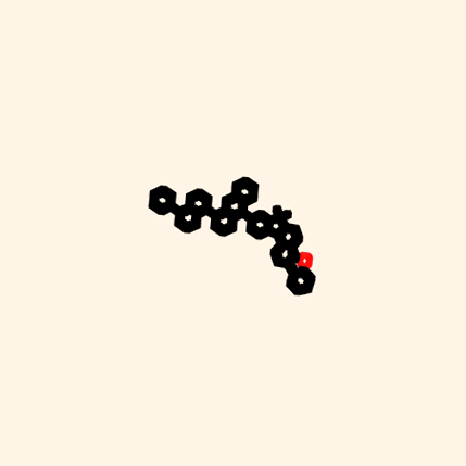 CC1(C)c2cc(-c3c4ccccc4cc4c(-c5cccc6c(-c7ccccc7)cccc56)cccc34)ccc2-c2c1ccc1c2ccc2c3ccccc3oc12